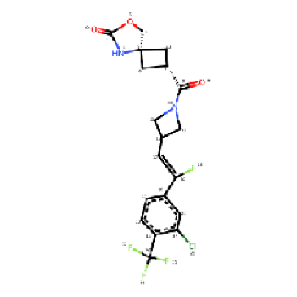 O=C1N[C@]2(CO1)C[C@@H](C(=O)N1CC(/C=C(\F)c3ccc(C(F)(F)F)c(Cl)c3)C1)C2